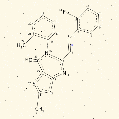 Cc1cc2nc(/C=C/c3ccccc3F)n(-c3ccccc3C)c(=O)c2s1